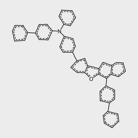 c1ccc(-c2ccc(-c3c4ccccc4cc4c3oc3ccc(-c5ccc(N(c6ccccc6)c6ccc(-c7ccccc7)cc6)cc5)cc34)cc2)cc1